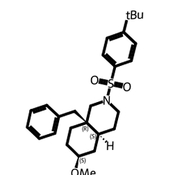 CO[C@H]1CC[C@]2(Cc3ccccc3)CN(S(=O)(=O)c3ccc(C(C)(C)C)cc3)CC[C@H]2C1